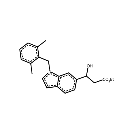 CCOC(=O)CC(O)c1ccc2ccn(Cc3c(C)cccc3C)c2c1